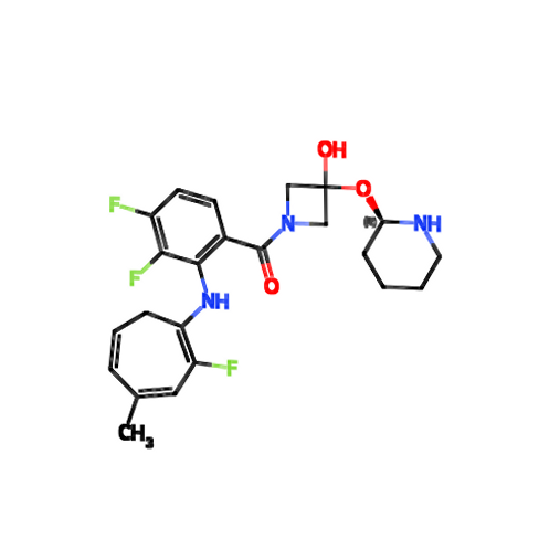 CC1=CC(F)=C(Nc2c(C(=O)N3CC(O)(O[C@@H]4CCCCN4)C3)ccc(F)c2F)CC=C1